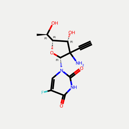 C#CC1(N)[C@@H](O)[C@@H]([C@@H](C)O)O[C@H]1n1cc(F)c(=O)[nH]c1=O